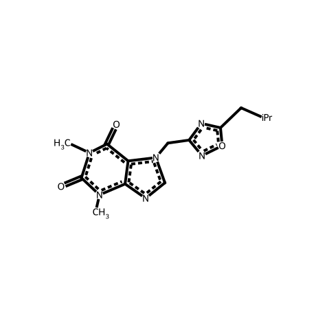 CC(C)Cc1nc(Cn2cnc3c2c(=O)n(C)c(=O)n3C)no1